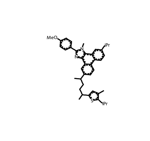 COc1ccc(-c2nc3c4cc(C(C)CCC(C)c5cc(C)c(C(C)C)s5)ccc4c4ccc(C(C)C)cc4c3n2C)cc1